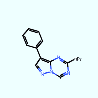 CCCc1n[c]n2ncc(-c3ccccc3)c2n1